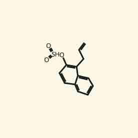 C=CCc1c(O[SH](=O)=O)ccc2ccccc12